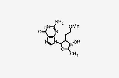 COCCC1C(n2cnc3c(=O)[nH]c(N)nc32)OC(C)[C@H]1O